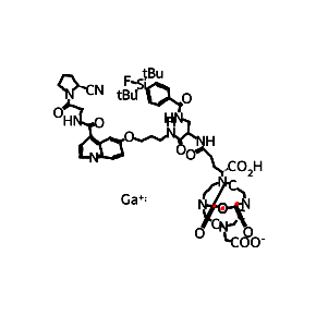 CC(C)(C)[Si](F)(c1ccc(C(=O)NC[C@@H](NC(=O)CC[C@H](C(=O)O)N2CCN3CCN(CC(=O)[O-])CCN(CC2)CC(=O)OOC(=O)C3)C(=O)NCCCOc2ccc3nccc(C(=O)NCC(=O)N4CCC[C@H]4C#N)c3c2)cc1)C(C)(C)C.[Ga+]